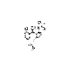 COC(=O)CCc1csc(NC(=O)C(C)Cl)c1C(=O)c1ccccc1Cl